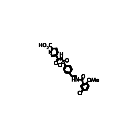 COc1ccc(Cl)cc1C(=O)NCCc1ccc(S(=O)(=O)NC(=O)c2ccc(C(=O)O)nc2)cc1